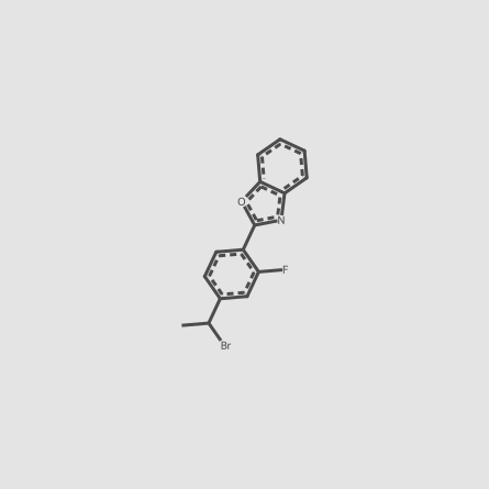 CC(Br)c1ccc(-c2nc3ccccc3o2)c(F)c1